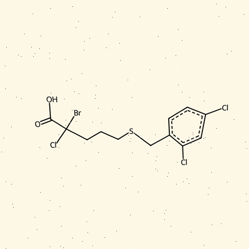 O=C(O)C(Cl)(Br)CCCSCc1ccc(Cl)cc1Cl